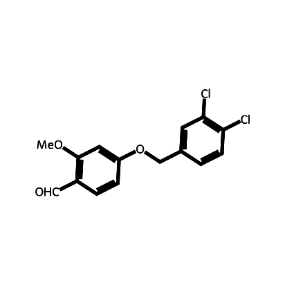 COc1cc(OCc2ccc(Cl)c(Cl)c2)ccc1C=O